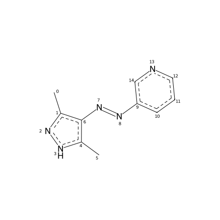 Cc1n[nH]c(C)c1N=Nc1cccnc1